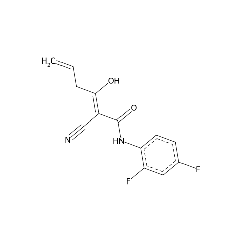 C=CC/C(O)=C(\C#N)C(=O)Nc1ccc(F)cc1F